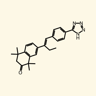 CCC(=Cc1ccc(-c2nnn[nH]2)cc1)c1ccc2c(c1)C(C)(C)C(=O)CC2(C)C